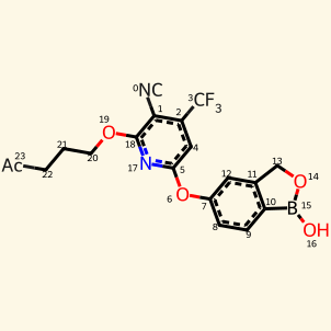 [C-]#[N+]c1c(C(F)(F)F)cc(Oc2ccc3c(c2)COB3O)nc1OCCCC(C)=O